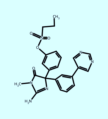 CCCS(=O)(=O)Oc1cccc(C2(c3cccc(-c4cncnc4)c3)N=C(N)N(C)C2=O)c1